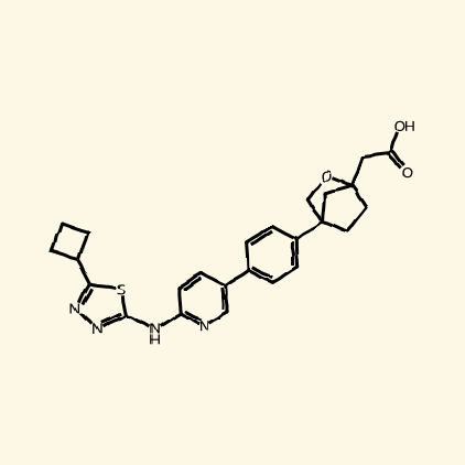 O=C(O)CC12CCC(c3ccc(-c4ccc(Nc5nnc(C6CCC6)s5)nc4)cc3)(CO1)C2